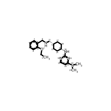 CCOc1ccccc1CNC[C@H]1CC[C@@H](Nc2nccc(N(C)C)n2)CC1